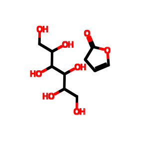 O=C1CC=CO1.OCC(O)C(O)C(O)C(O)CO